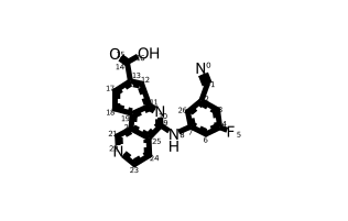 N#Cc1cc(F)cc(Nc2nc3cc(C(=O)O)ccc3c3cnccc23)c1